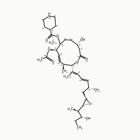 CC[C@@H](O)[C@@H](C)[C@H]1O[C@@H]1C[C@@H](C)/C=C/C=C(\C)[C@H]1OC(=O)C[C@@H](O)CC[C@](C)(OC(=O)N2CCNCC2)[C@H](OC(C)=O)/C=C/[C@@H]1C